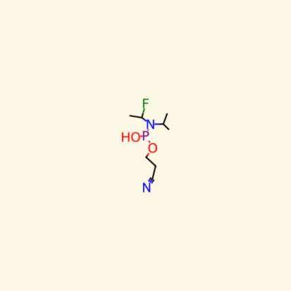 CC(C)N(C(C)F)P(O)OCCC#N